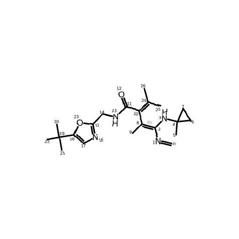 C=N/C(NC1(C)CC1)=C(\C)C(C(=O)NCc1ncc(C(C)(C)C)o1)=C(C)C